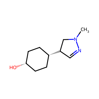 CN1CC([C@H]2CC[C@@H](O)CC2)C=N1